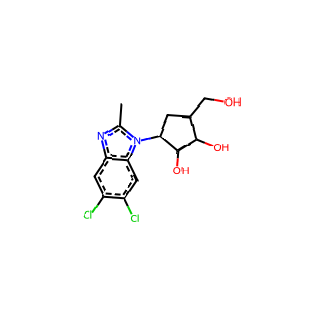 Cc1nc2cc(Cl)c(Cl)cc2n1C1CC(CO)C(O)C1O